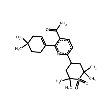 CC1(C)CC=C(c2nc(C3CC(C)(C)S(=O)(=O)C(C)(C)C3)ccc2C(N)=O)CC1